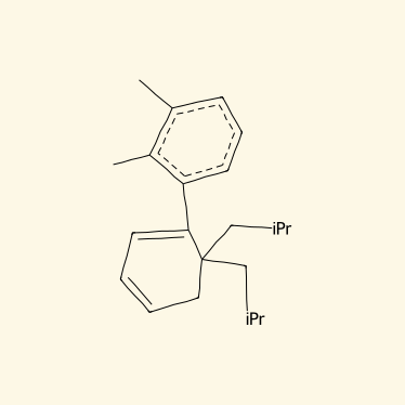 Cc1cccc(C2=CC=CCC2(CC(C)C)CC(C)C)c1C